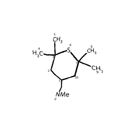 CNC1CC(C)(C)SC(C)(C)C1